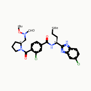 CSCC[C@H](NC(=O)c1ccc(C(=O)N2CCC[C@H]2CN(C=O)OC(C)(C)C)c(Cl)c1)c1nc2cc(Cl)ccc2[nH]1